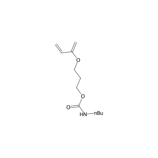 C=CC(=C)OCCCOC(=O)NCCCC